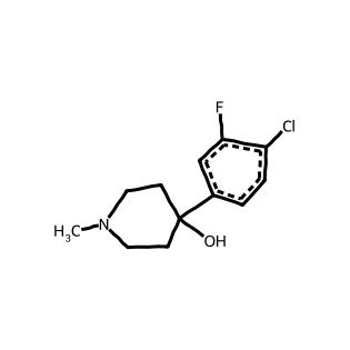 CN1CCC(O)(c2ccc(Cl)c(F)c2)CC1